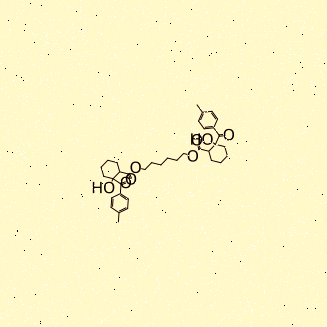 Cc1ccc(C(=O)C2(O)CCCCC2C(=O)OCCCCCCOC(=O)C2CCCCC2(O)C(=O)c2ccc(C)cc2)cc1